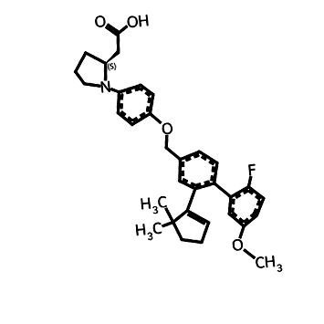 COc1ccc(F)c(-c2ccc(COc3ccc(N4CCC[C@H]4CC(=O)O)cc3)cc2C2=CCCC2(C)C)c1